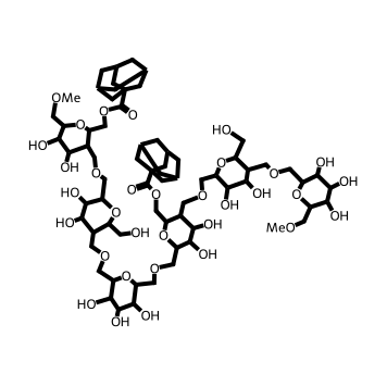 COCC1OC(COCC2C(CO)OC(COCC3C(COC(=O)C45CC6CC(CC(C6)C4)C5)OC(COCC4OC(COCC5C(CO)OC(COCC6C(COC(=O)C78CC9CC(CC(C9)C7)C8)OC(COC)C(O)C6O)C(O)C5O)C(O)C(O)C4O)C(O)C3O)C(O)C2O)C(O)C(O)C1O